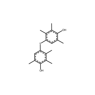 Cc1cc(Sc2cc(C)c(O)c(C)c2C)c(C)c(C)c1O